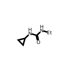 CCNC(=O)NC1CC1